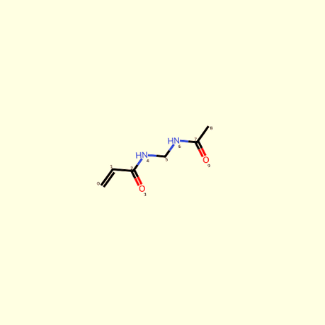 C=CC(=O)NCNC(C)=O